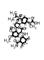 COc1ccc([C@@H](Nc2cc(C(N)=O)c(F)cc2F)C(=O)N2CCC[C@@H]2c2cc(N(C)C(=O)O)ccc2S(=O)(=O)C(C)C)cc1OC